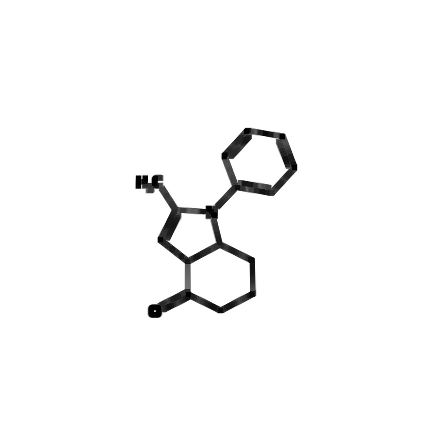 CC1=CC2C(=O)CCCC2N1c1ccccc1